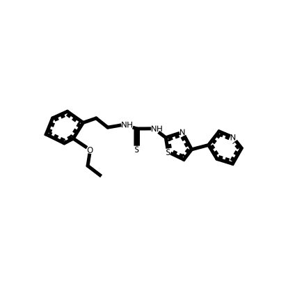 CCOc1ccccc1CCNC(=S)Nc1nc(-c2cccnc2)cs1